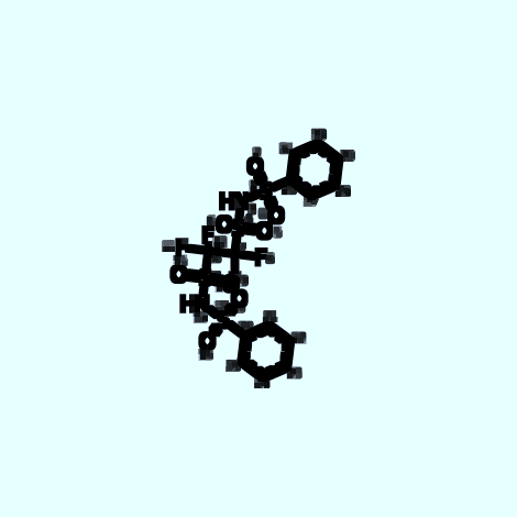 O=S(=O)(NS(=O)(=O)C(F)(F)C(F)(F)S(=O)(=O)NS(=O)(=O)c1ccccc1)c1ccccc1